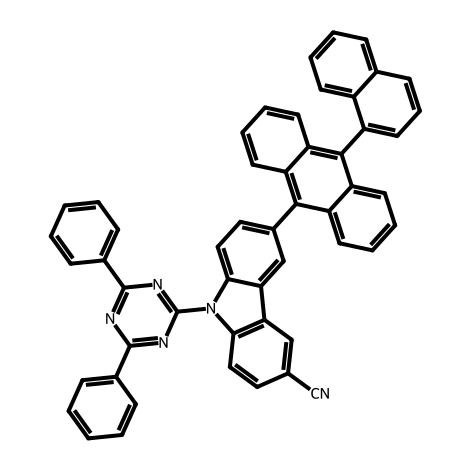 N#Cc1ccc2c(c1)c1cc(-c3c4ccccc4c(-c4cccc5ccccc45)c4ccccc34)ccc1n2-c1nc(-c2ccccc2)nc(-c2ccccc2)n1